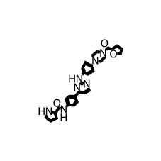 O=C(Nc1ccc(-c2ccnc(Nc3ccc(N4CCN(C(=O)C5CCCO5)CC4)cc3)n2)cc1)C1CCCN1